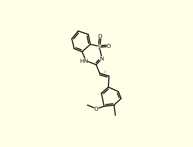 COc1cc(/C=C/C2=NS(=O)(=O)c3ccccc3N2)ccc1C